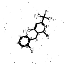 CC1=CC(C(F)(C(F)(F)F)C(F)(F)F)=NC(Br)[C]1Cc1ccccc1Cl